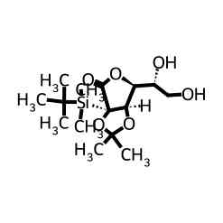 CC1(C)O[C@@H]2[C@H]([C@H](O)CO)OC(=O)[C@]2([Si](C)(C)C(C)(C)C)O1